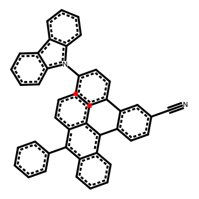 N#Cc1ccc(-c2c3ccccc3c(-c3ccccc3)c3ccccc23)c(-c2ccc(-n3c4ccccc4c4ccccc43)cc2)c1